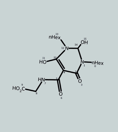 CCCCCCN1C(=O)C(C(=O)NCC(=O)O)=C(O)N(CCCCCC)C1O